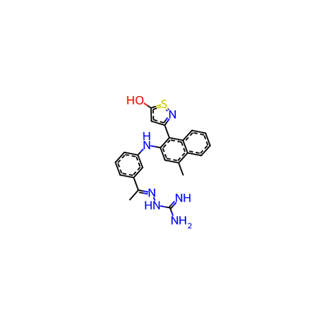 CC(=NNC(=N)N)c1cccc(Nc2cc(C)c3ccccc3c2-c2cc(O)sn2)c1